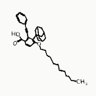 CCCCCCCCCCCCOc1ccc(C(=O)O)c(C#Cc2ccccc2)c1C12CC3CC(CC(C3)C1)C2